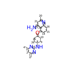 Cc1cc(C)nc(N[C@H]2CC[C@H](Oc3cccc4nc(C)cc(N)c34)CC2)n1